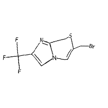 FC(F)(F)c1cn2cc(Br)sc2n1